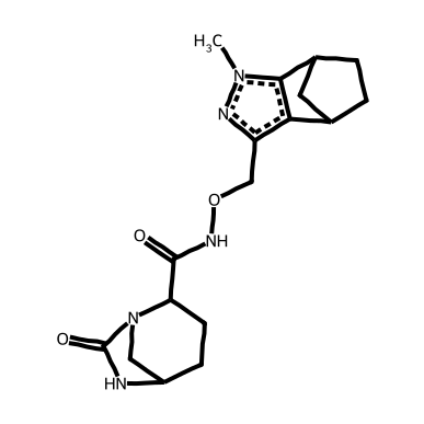 Cn1nc(CONC(=O)C2CCC3CN2C(=O)N3)c2c1C1CCC2C1